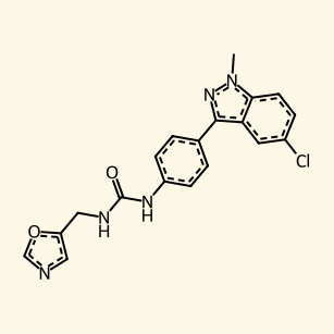 Cn1nc(-c2ccc(NC(=O)NCc3cnco3)cc2)c2cc(Cl)ccc21